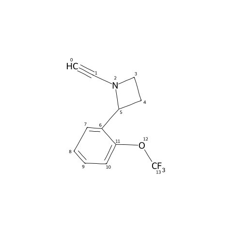 C#CN1CCC1c1ccccc1OC(F)(F)F